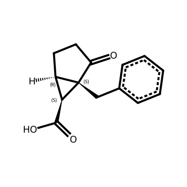 O=C(O)[C@H]1[C@H]2CCC(=O)[C@@]21Cc1ccccc1